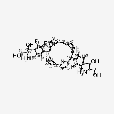 NC(CO)C(O)c1c(F)c(F)c(C2=C3C=CC(=N3)c3ccc([nH]3)C(c3c(F)c(F)c(C(O)C(N)CO)c(F)c3F)=C3C=CC(=N3)C=C3C=CC2=N3)c(F)c1F